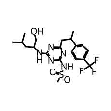 CC(C)CC(CO)Nc1nc(CC(C)c2ccc(C(F)(F)F)cc2)nc(NS(C)(=O)=O)n1